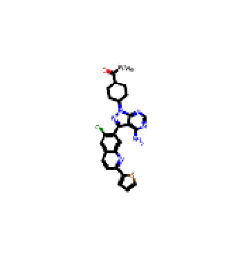 CNC(=O)C1CCC(n2nc(-c3cc4nc(-c5cccs5)ccc4cc3Cl)c3c(N)ncnc32)CC1